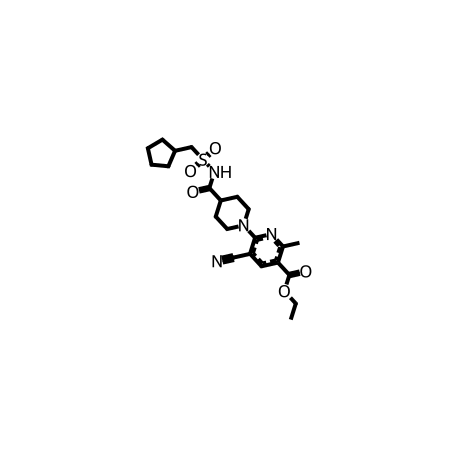 CCOC(=O)c1cc(C#N)c(N2CCC(C(=O)NS(=O)(=O)CC3CCCC3)CC2)nc1C